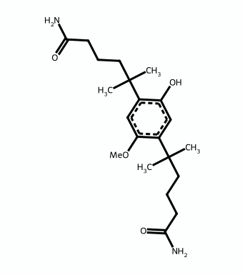 COc1cc(C(C)(C)CCCC(N)=O)c(O)cc1C(C)(C)CCCC(N)=O